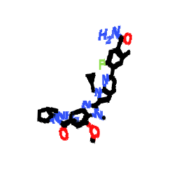 COc1cc(C(=O)N2CC3CCC2C3N)cc2nc(-c3cc4ccc(-c5cc(C)c(C(N)=O)cc5F)nc4n3CC3CC3)n(C)c12